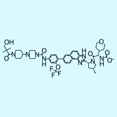 COC(=O)N[C@H](C(=O)N1C[C@@H](C)C[C@H]1c1nc2c(ccc3cc(-c4ccc(NC(=O)N5CCN(C6CCN(C(=O)C(C)(C)CO)CC6)CC5)cc4OC(F)(F)F)ccc32)[nH]1)C1CCOCC1